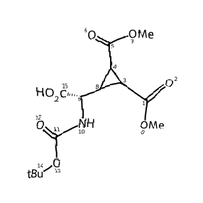 COC(=O)C1C(C(=O)OC)C1[C@H](NC(=O)OC(C)(C)C)C(=O)O